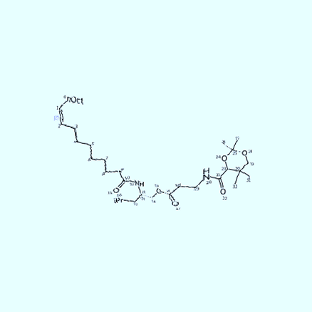 CCCCCCCC/C=C\CCCCCCCC(=O)N[C@H](COC(=O)CCNC(=O)C1OC(C)(C)OCC1(C)C)CC(C)C